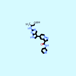 COC[C@H](C)Nc1ncc2c(-c3ccn4ncc(C(=O)Nc5cccnc5)c4c3)c[nH]c2n1